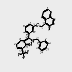 Cc1ccc2ccccc2c1COc1cccc(-c2c3cccc(C(F)(F)F)c3nn2Cc2ccccc2)c1